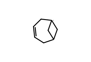 C1=CCC2C[C](C1)C2